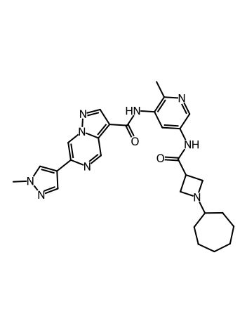 Cc1ncc(NC(=O)C2CN(C3CCCCCC3)C2)cc1NC(=O)c1cnn2cc(-c3cnn(C)c3)ncc12